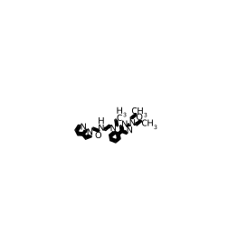 CCCN(CCNC(=O)Cn1ccc2cccnc21)c1ccccc1-c1cnc(N2C[C@@H](C)O[C@@H](C)C2)nc1